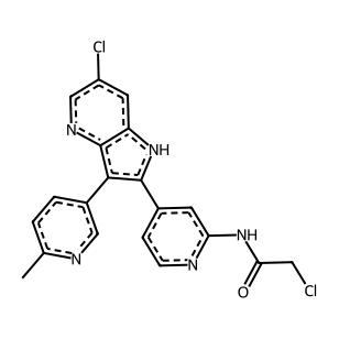 Cc1ccc(-c2c(-c3ccnc(NC(=O)CCl)c3)[nH]c3cc(Cl)cnc23)cn1